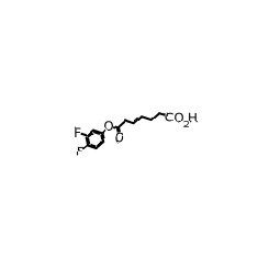 O=C(O)CCCCCC(=O)Oc1ccc(F)c(F)c1